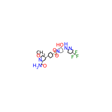 COc1cc(-c2ccc(S(=O)(=O)N3CC[C@@H](Nc4ccc(C(F)(F)F)cn4)[C@@H](O)C3)cc2)cc(C(N)=O)n1